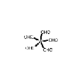 O=[CH][W]([CH]=O)([CH]=O)([CH]=O)[CH]=O